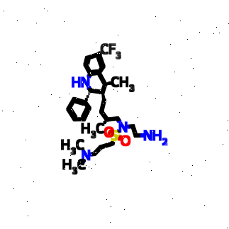 C[C@H](CC[C@@H]1[C@H](C)c2cc(C(F)(F)F)ccc2N[C@H]1c1ccccc1)CN(CCN)S(=O)(=O)CCCN(C)C